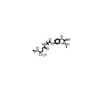 C=PNC(CCC(=O)NC(C)(C)C(=O)Oc1ccc(NC(=N)NPC)cc1)C(=O)O